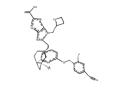 N#Cc1ccc(COc2cccc([C@]34CCN(Cc5nc6oc(C(=O)O)nc6n5CC5CCO5)C[C@H]3C4)n2)c(F)c1